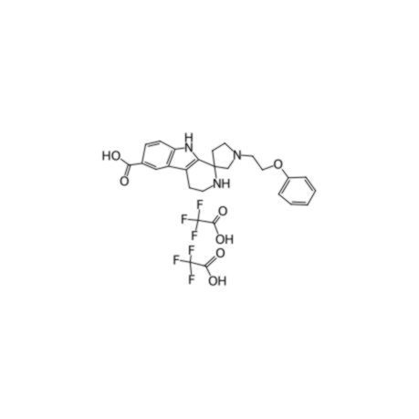 O=C(O)C(F)(F)F.O=C(O)C(F)(F)F.O=C(O)c1ccc2[nH]c3c(c2c1)CCNC31CCN(CCOc2ccccc2)C1